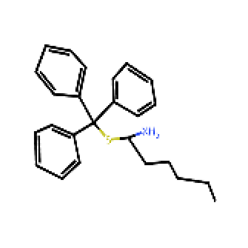 CCCCCC(N)SC(c1ccccc1)(c1ccccc1)c1ccccc1